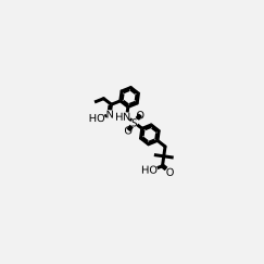 CCC(=NO)c1ccccc1NS(=O)(=O)c1ccc(CC(C)(C)C(=O)O)cc1